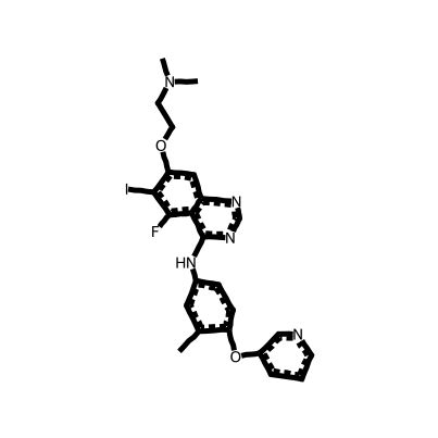 Cc1cc(Nc2ncnc3cc(OCCN(C)C)c(I)c(F)c23)ccc1Oc1cccnc1